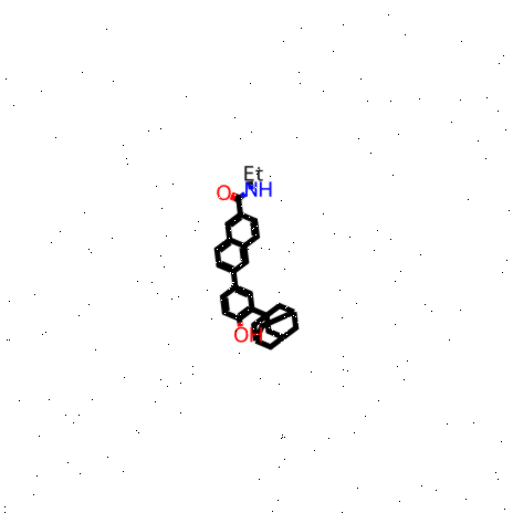 CCNC(=O)c1ccc2cc(-c3ccc(O)c(C45CC6CC(CC(C6)C4)C5)c3)ccc2c1